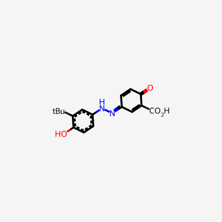 CC(C)(C)c1cc(N/N=C2\C=CC(=O)C(C(=O)O)=C2)ccc1O